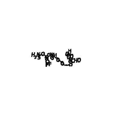 CN(Cc1c(C#CCCOCCCOCCCC(=O)Nc2ccc3c(-c4cccc(C(N)=S)c4)cn(C4CCC(F)(F)CC4)c3c2)cccc1C=O)C1CCC(=O)NC1=O